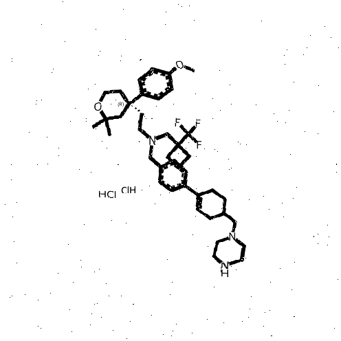 COc1ccc([C@]2(CCN(Cc3ccc(C4=CCC(CN5CCNCC5)CC4)cc3)CC3(C(F)(F)F)CCC3)CCOC(C)(C)C2)cc1.Cl.Cl